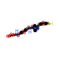 O=POCC(O)COCCCNC(=O)OCc1ccc(OC(=O)c2ccc(OCC(=O)NCCC(=O)N3Cc4ccccc4-c4nnn(CCOc5ccc(C(=O)Oc6ccc(CS)cc6)cc5)c4-c4ccccc43)cc2)cc1